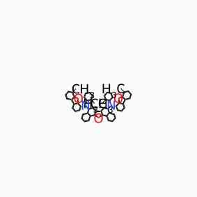 Cc1ccccc1N(c1cc2c3cc(N(c4ccccc4C)c4cccc5c4oc4c(C)cccc45)c4ccccc4c3oc2c2ccccc12)c1cccc2c1oc1c(C)cccc12